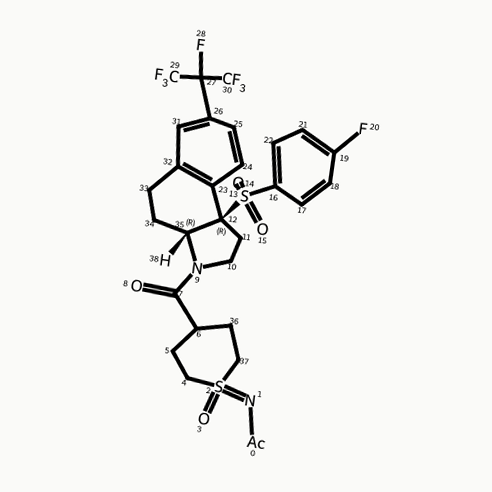 CC(=O)N=S1(=O)CCC(C(=O)N2CC[C@@]3(S(=O)(=O)c4ccc(F)cc4)c4ccc(C(F)(C(F)(F)F)C(F)(F)F)cc4CC[C@@H]23)CC1